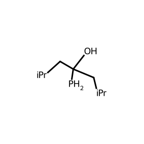 CC(C)CC(O)(P)CC(C)C